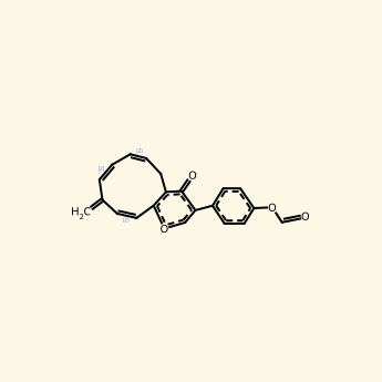 C=C1/C=C\C=C/Cc2c(occ(-c3ccc(OC=O)cc3)c2=O)/C=C\1